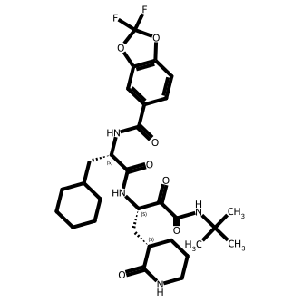 CC(C)(C)NC(=O)C(=O)[C@H](C[C@@H]1CCCNC1=O)NC(=O)[C@H](CC1CCCCC1)NC(=O)c1ccc2c(c1)OC(F)(F)O2